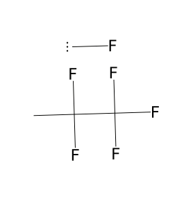 CC(F)(F)C(F)(F)F.[C]F